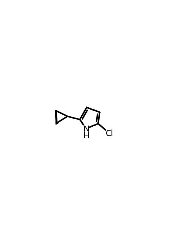 Clc1ccc(C2CC2)[nH]1